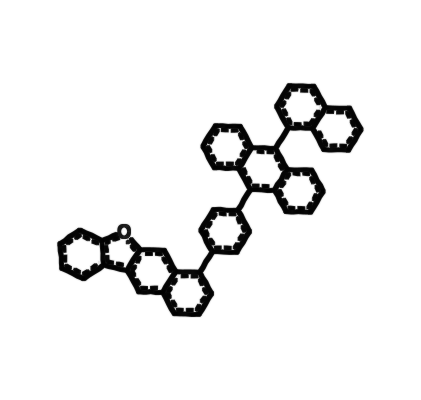 c1cc(-c2ccc(-c3c4ccccc4c(-c4cccc5ccccc45)c4ccccc34)cc2)c2cc3oc4ccccc4c3cc2c1